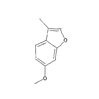 COc1ccc2c(C)[c]oc2c1